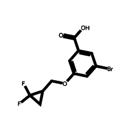 O=C(O)c1cc(Br)cc(OCC2CC2(F)F)c1